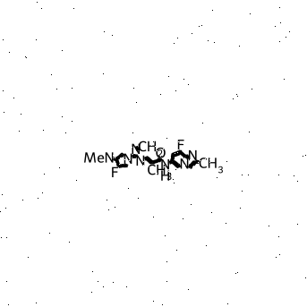 C=N/C(=N\C=C(/C)C(=O)Nc1cc(F)c2nc(C)cn2c1)N1CC(F)C(NC)C1